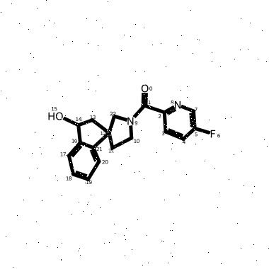 O=C(c1ccc(F)cn1)N1CCC2(CC(O)c3ccccc32)C1